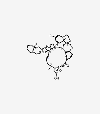 CO[C@]1(CN2CCN3CCCC[C@@H]3C2)/C=C/C[C@H](C)[C@@H](CCO)S(=O)(=O)NC(=O)c2ccc3c(c2)N(C[C@@H]2CC[C@H]21)C[C@@]1(CCCC2C=C(Cl)C=CC21C)CO3